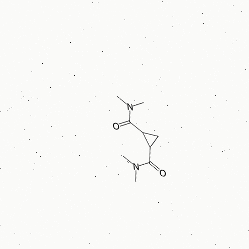 CN(C)C(=O)C1CC1C(=O)N(C)C